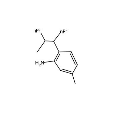 CCCC(c1ccc(C)cc1N)C(C)C(C)C